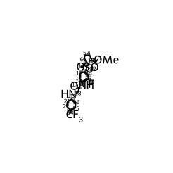 COC(=O)[C@@H]1CCCN1S(=O)(=O)c1ccc(NC(=O)CNc2ccc(C(F)(F)F)cc2)c(F)c1